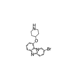 Brc1ccc2nc3cccc(OC4CCNCC4)c3n2c1